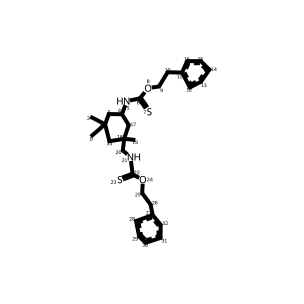 CC1(C)CC(NC(=S)OCCc2ccccc2)CC(C)(CNC(=S)OCCc2ccccc2)C1